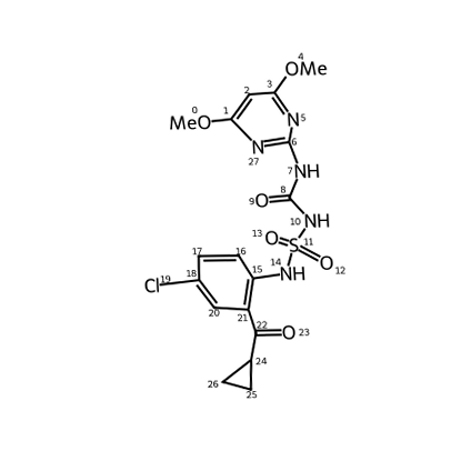 COc1cc(OC)nc(NC(=O)NS(=O)(=O)Nc2ccc(Cl)cc2C(=O)C2CC2)n1